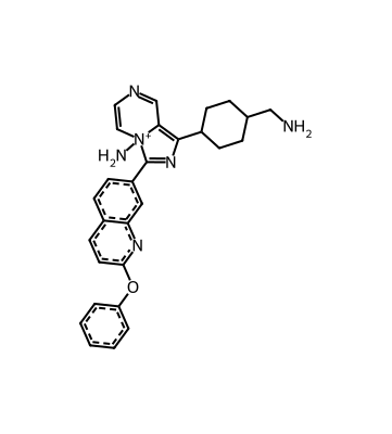 NCC1CCC(C2=C3C=NC=C[N+]3(N)C(c3ccc4ccc(Oc5ccccc5)nc4c3)=N2)CC1